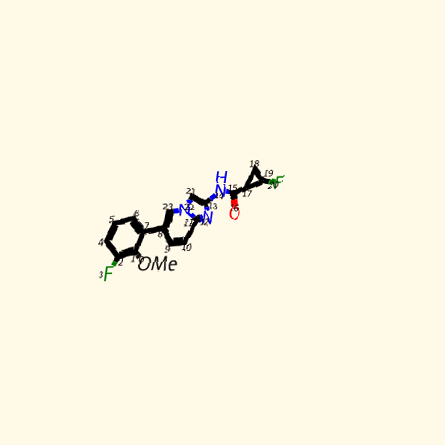 COc1c(F)cccc1-c1ccc2nc(NC(=O)C3CC3F)cn2c1